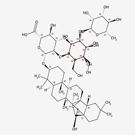 C[C@@H]1O[C@@H](O[C@H]2[C@H](O[C@H]3[C@H](O)[C@@H](C(=O)O)O[C@@H](O[C@H]4CC[C@]5(C)[C@H]6CC[C@]78OC[C@@]9(CCC(C)(C)C[C@H]97)[C@H](O)C[C@@]8(C)[C@]6(C)CC[C@H]5C4(C)C)[C@@H]3O[C@@H]3O[C@H](CO)[C@@H](O)[C@H](O)[C@H]3O)O[C@H](CO)[C@H](O)[C@@H]2O)[C@H](O)[C@H](O)[C@H]1O